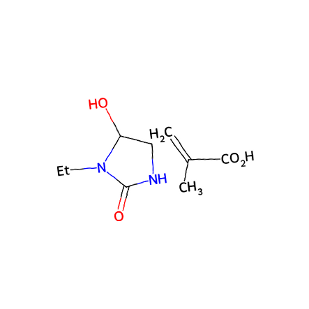 C=C(C)C(=O)O.CCN1C(=O)NCC1O